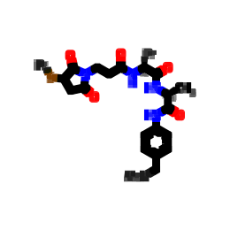 CNCc1ccc(NC(=O)[C@H](C)NC(=O)[C@@H](NC(=O)CCN2C(=O)CC(SC(C)C)C2=O)C(C)C)cc1